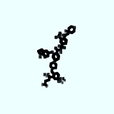 C=C(CCC(F)F)C1=C(CN2CCN(c3ccc(C(=O)NS(=O)(=O)c4ccc(NCC5(F)CCOCC5)c([N+](=O)[O-])c4)c(Oc4cnc5[nH]ccc5c4)c3)CC2)CCC(C)(C)C1